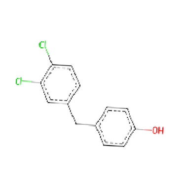 Oc1ccc(Cc2ccc(Cl)c(Cl)c2)cc1